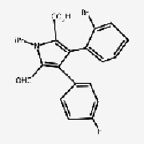 CC(C)n1c(C=O)c(-c2ccc(F)cc2)c(-c2ccccc2Br)c1C(=O)O